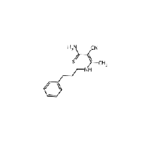 CC(NCCCc1ccccc1)=C(C#N)C(N)=S